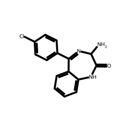 NC1N=C(c2ccc(Cl)cc2)c2ccccc2NC1=O